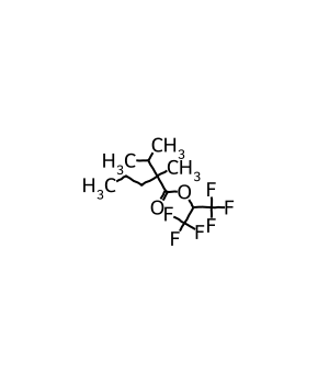 CCCC(C)(C(=O)OC(C(F)(F)F)C(F)(F)F)C(C)C